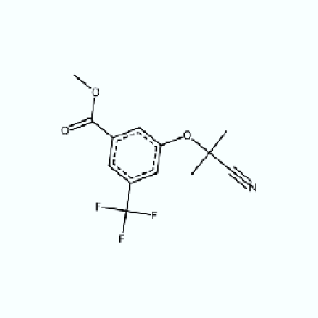 COC(=O)c1cc(OC(C)(C)C#N)cc(C(F)(F)F)c1